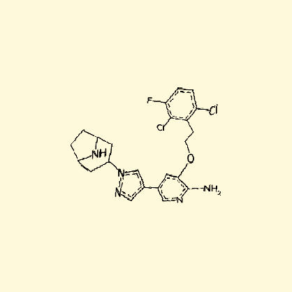 Nc1ncc(-c2cnn(C3CC4CCC(C3)N4)c2)cc1OCCc1c(Cl)ccc(F)c1Cl